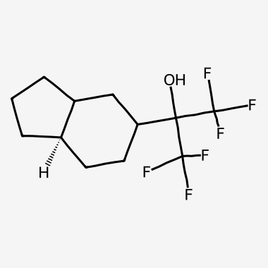 OC(C1CC[C@H]2CCCC2C1)(C(F)(F)F)C(F)(F)F